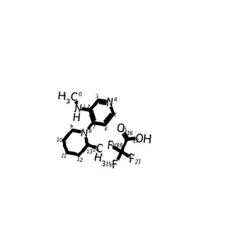 CNc1cnccc1N1CCCCC1C.O=C(O)C(F)(F)F